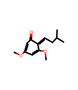 COC1=CC(=O)C(=CCC(C)C)C(OC)=C1